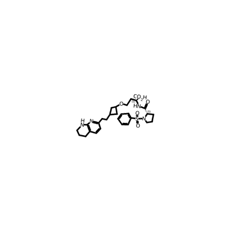 O=C(O)[C@H](CCOC1CC(CCc2ccc3c(n2)NCCC3)C1)NC(=O)[C@@H]1CCCN1S(=O)(=O)c1ccccc1